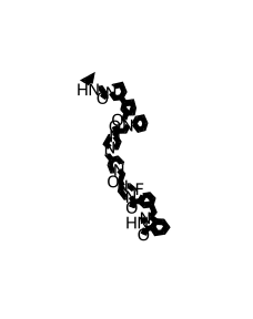 O=C(CN1CCC(CN2CCN(C(=O)CN(C(=O)c3cccc(C4CCCN(C(=O)CNC5CC5)C4)c3)C3CCCCC3)CC2)CC1)N1CCN(C(=O)c2cc(Cc3n[nH]c(=O)c4ccccc34)ccc2F)CC1